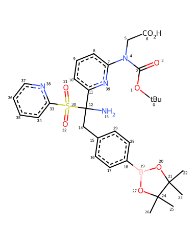 CC(C)(C)OC(=O)N(CC(=O)O)c1cccc(C(N)(Cc2ccc(B3OC(C)(C)C(C)(C)O3)cc2)S(=O)(=O)c2ccccn2)n1